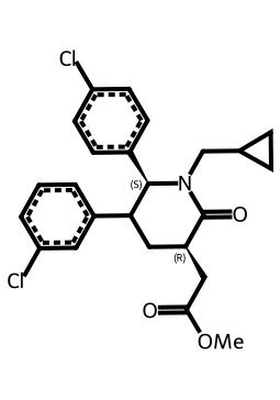 COC(=O)C[C@H]1CC(c2cccc(Cl)c2)[C@@H](c2ccc(Cl)cc2)N(CC2CC2)C1=O